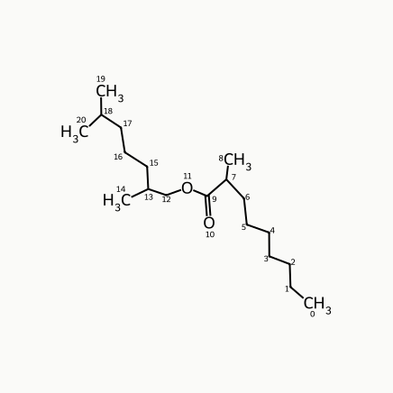 CCCCCCCC(C)C(=O)OCC(C)CCCC(C)C